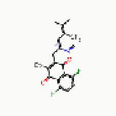 C=N/C(=C\C(=C(C)C)C(F)(F)F)CC1=C(CC)C(=O)c2c(F)ccc(F)c2C1=O